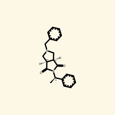 C[C@H](c1ccccc1)N1C(=O)[C@H]2CN(Cc3ccccc3)C[C@H]2C1=O